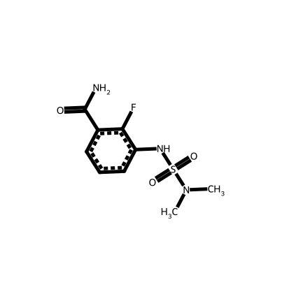 CN(C)S(=O)(=O)Nc1cccc(C(N)=O)c1F